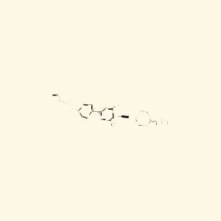 C=CCCCc1ccc(-c2cc(F)c(C#C[C@H]3CC[C@H](CCC)CC3)c(F)c2)cc1